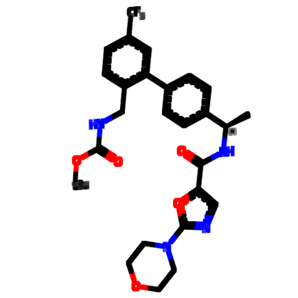 C[C@@H](NC(=O)c1cnc(N2CCOCC2)o1)c1ccc(-c2cc(C(F)(F)F)ccc2CNC(=O)OC(C)(C)C)cc1